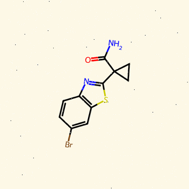 NC(=O)C1(c2nc3ccc(Br)cc3s2)CC1